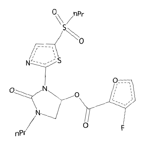 CCCN1CC(OC(=O)c2occc2F)N(c2ncc(S(=O)(=O)CCC)s2)C1=O